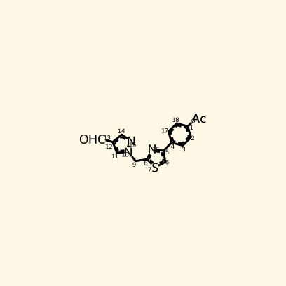 CC(=O)c1ccc(-c2csc(Cn3cc(C=O)cn3)n2)cc1